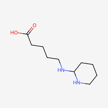 O=C(O)CCCCNC1CCCCN1